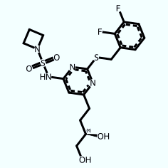 O=S(=O)(Nc1cc(CC[C@@H](O)CO)nc(SCc2cccc(F)c2F)n1)N1CCC1